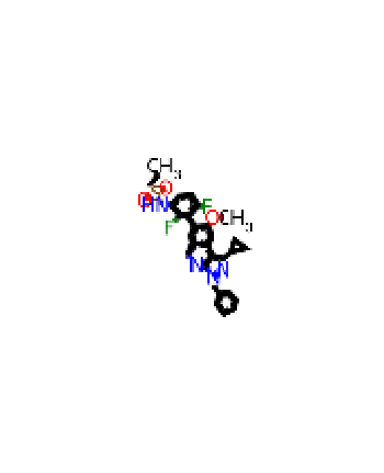 CCCS(=O)(=O)Nc1ccc(F)c(-c2cc3cnc4c(c(C5CC5)nn4Cc4ccccc4)c3cc2OC)c1F